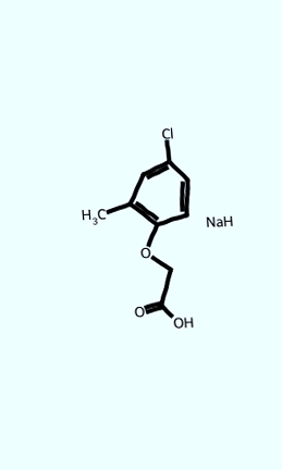 Cc1cc(Cl)ccc1OCC(=O)O.[NaH]